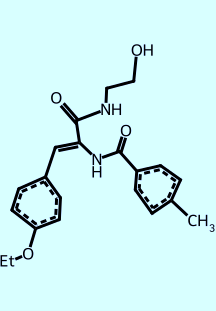 CCOc1ccc(/C=C(\NC(=O)c2ccc(C)cc2)C(=O)NCCO)cc1